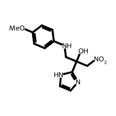 COc1ccc(NCC(O)(C[N+](=O)[O-])c2ncc[nH]2)cc1